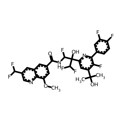 COc1cc(C(=O)NC(F)C(O)(c2cc(C(C)(C)O)c(F)c(-c3ccc(F)c(F)c3)n2)C(F)F)cc2cc(C(F)F)cnc12